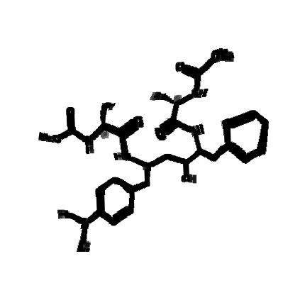 CCC(C)[C@H](NC(=O)OC)C(=O)NC(Cc1ccccc1)C(O)CN(Cc1ccc(N(CC)CC)cc1)NC(=O)[C@@H](NC(=O)OC)C(C)C